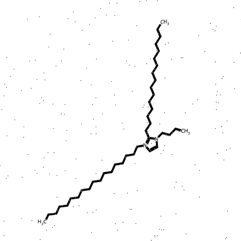 CCCCCCCCCCCCCCCCCC[n+]1ccn(CCCC)c1CCCCCCCCCCCCCCCC